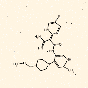 COCC1CCN(C2=CC(C)NC=C2NC(=O)/C(C(=N)N)=C2\N=CC(F)=CN2)CC1